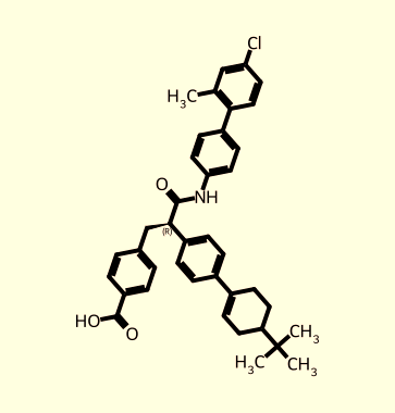 Cc1cc(Cl)ccc1-c1ccc(NC(=O)[C@H](Cc2ccc(C(=O)O)cc2)c2ccc(C3=CCC(C(C)(C)C)CC3)cc2)cc1